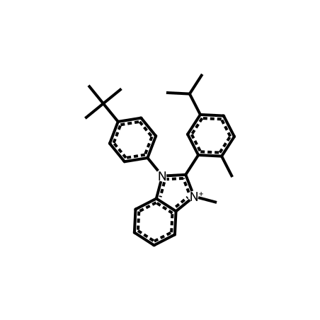 Cc1ccc(C(C)C)cc1-c1n(-c2ccc(C(C)(C)C)cc2)c2ccccc2[n+]1C